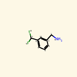 NCc1cccc(C(F)F)c1